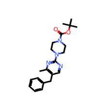 Cc1nc(N2CCN(C(=O)OC(C)(C)C)CC2)ncc1Cc1ccccc1